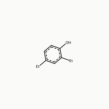 CCc1ccc(O)c(CC)c1